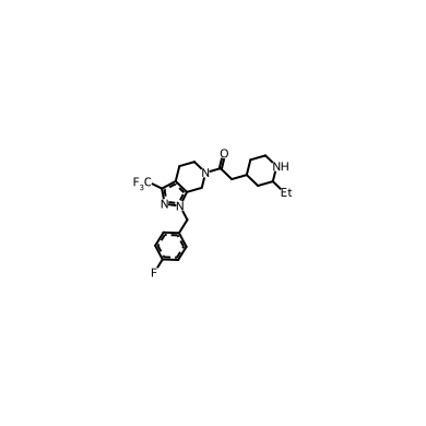 CCC1CC(CC(=O)N2CCc3c(C(F)(F)F)nn(Cc4ccc(F)cc4)c3C2)CCN1